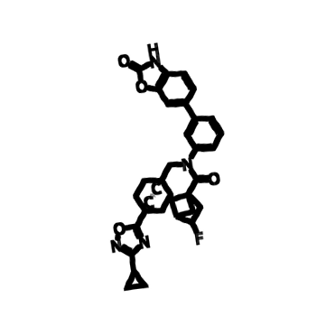 O=C(N(CC12CCC(c3nc(C4CC4)no3)(CC1)CC2)c1cccc(-c2ccc3[nH]c(=O)oc3c2)c1)C12CC(F)C(C1)C2